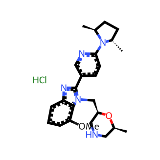 COc1cccc2nc(-c3ccc(N4[C@@H](C)CC[C@@H]4C)nc3)n(C[C@@H]3CNC[C@H](C)O3)c12.Cl